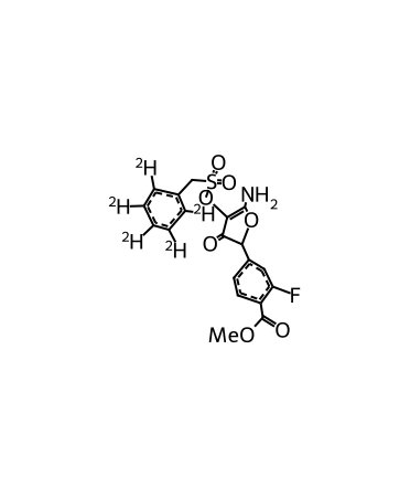 [2H]c1c([2H])c([2H])c(CS(=O)(=O)OC2=C(N)OC(c3ccc(C(=O)OC)c(F)c3)C2=O)c([2H])c1[2H]